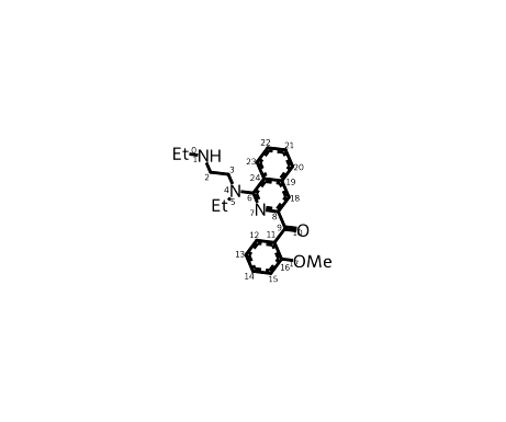 CCNCCN(CC)c1nc(C(=O)c2ccccc2OC)cc2ccccc12